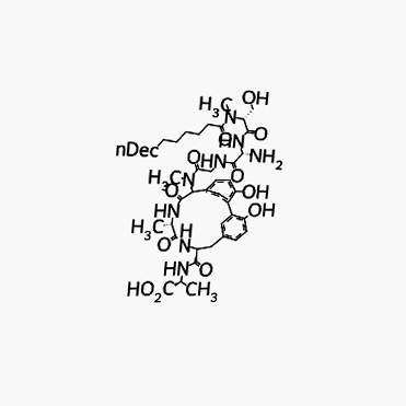 CCCCCCCCCCCCCCCC(=O)N(C)[C@H](CO)C(=O)N[C@H](N)C(=O)NCC(=O)N(C)[C@@H]1C(=O)N[C@@H](C)C(=O)N[C@H](C(=O)N[C@@H](C)C(=O)O)Cc2ccc(O)c(c2)-c2cc1ccc2O